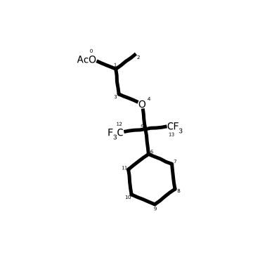 CC(=O)OC(C)COC(C1CCCCC1)(C(F)(F)F)C(F)(F)F